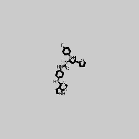 O=C(Nc1ccc(Nc2ncnc3[nH]ccc23)cc1)Nc1cc(-c2ccco2)nn1-c1ccc(F)cc1